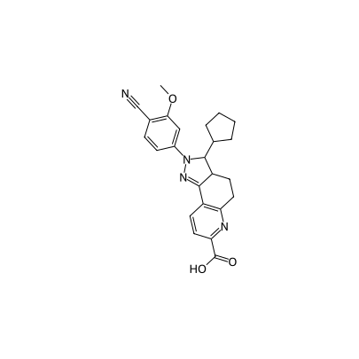 COc1cc(N2N=C3c4ccc(C(=O)O)nc4CCC3C2C2CCCC2)ccc1C#N